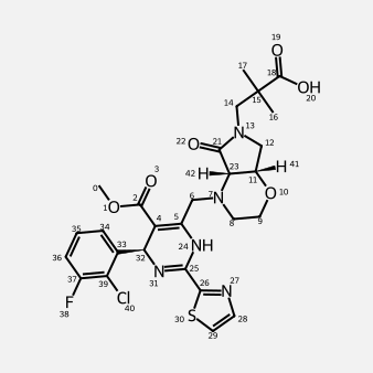 COC(=O)C1=C(CN2CCO[C@H]3CN(CC(C)(C)C(=O)O)C(=O)[C@H]32)NC(c2nccs2)=N[C@H]1c1cccc(F)c1Cl